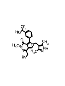 Cc1n[nH]c(C)c1Cn1cc2c(CC(C)C)nn(C)c(=O)c2c1-c1cccc(C(O)C(F)(F)F)c1